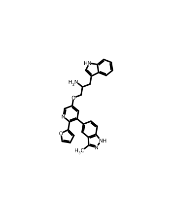 Cc1n[nH]c2ccc(-c3cc(OCC(N)Cc4c[nH]c5ccccc45)cnc3-c3ccco3)cc12